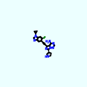 Nc1ncnn2c([C@H]3CCNC3)nc(C#Cc3cc4ncn(C5CC5)c4cc3F)c12